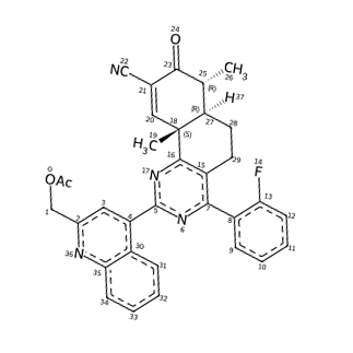 CC(=O)OCc1cc(-c2nc(-c3ccccc3F)c3c(n2)[C@]2(C)C=C(C#N)C(=O)[C@H](C)[C@H]2CC3)c2ccccc2n1